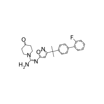 CC(C)(c1ccc(-c2ccccc2F)cc1)c1cc(/N=C(/N)N2CCC(=O)CC2)on1